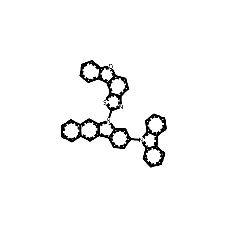 c1ccc2cc3c(cc2c1)c1ccc(-n2c4ccccc4c4ccccc42)cc1n3-c1nc2ccc3oc4ccccc4c3c2s1